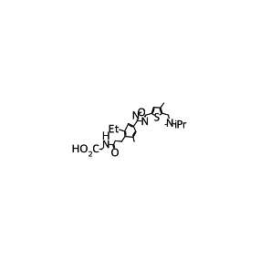 CCc1cc(-c2noc(-c3cc(C)c(CN(C)C(C)C)s3)n2)cc(C)c1CCC(=O)NCC(=O)O